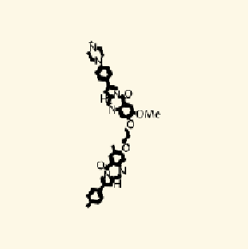 COc1cc2c(cc1OCCCOc1cc3c(cc1C)C(=O)N1C=C(c4ccc(C)cc4)C[C@H]1C=N3)N=C[C@@H]1CC(c3ccc(N4CCN(C)CC4)cc3)=CN1C2=O